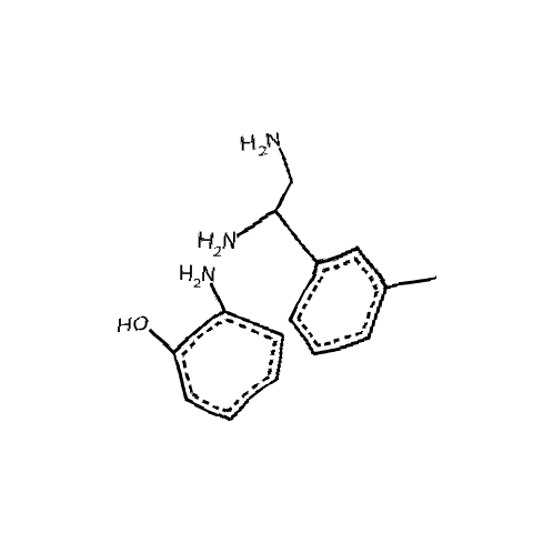 Cc1cccc(C(N)CN)c1.Nc1ccccc1O